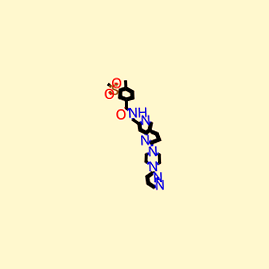 Cc1ccc(C(=O)NCc2cc3nc(N4CCN(c5cccnn5)CC4)ccc3cn2)cc1S(C)(=O)=O